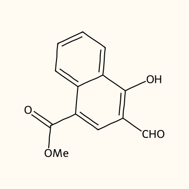 COC(=O)c1cc(C=O)c(O)c2ccccc12